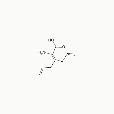 C=CCC(CC=C)=C(N)C(=O)O